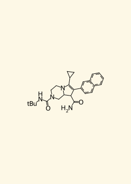 CC(C)(C)NC(=O)N1CCN2C(C3CC3)=C(c3ccc4ccccc4c3)C(C(N)=O)C2C1